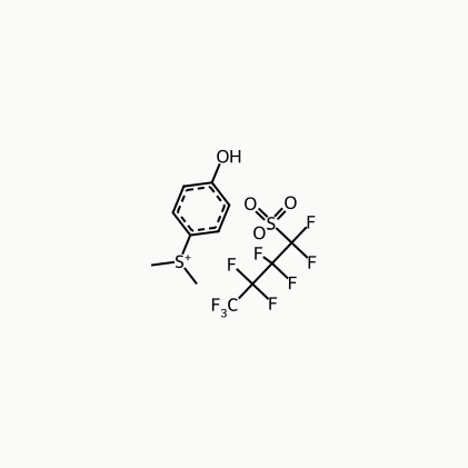 C[S+](C)c1ccc(O)cc1.O=S(=O)([O-])C(F)(F)C(F)(F)C(F)(F)C(F)(F)F